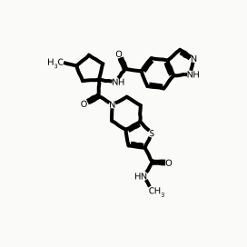 CNC(=O)c1cc2c(s1)CCN(C(=O)C1(NC(=O)c3ccc4[nH]ncc4c3)CCC(C)C1)C2